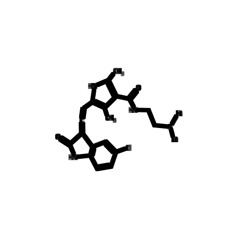 CCN(CC)CCNC(=O)c1c(C)[nH]c(C=C=C2C(=O)Nc3ccc(Cl)cc32)c1C